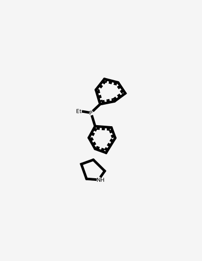 C1CCNC1.CCP(c1ccccc1)c1ccccc1